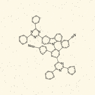 N#Cc1ccc(-c2cc(-c3cc(-c4ccccc4)nc(-c4ccccc4)n3)cc(-c3ccc(C#N)cc3)c2-n2c3ccccc3c3cc(-c4nc(-c5ccccc5)nc(-c5ccccc5)n4)ccc32)cc1